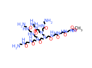 COC(=O)NCCNC(=O)CCNC(=O)CCNC(=O)CCN(CCC(=O)N(CCC(=O)NCCC(=O)NCCN)CCC(=O)NCCC(=O)NCCN)CCN(CCC(=O)NCCN)CCC(=O)NCCN